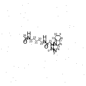 CNN(C)Cc1cc2ccccc2n1CCC(=O)NCCCCCNC(C)=O